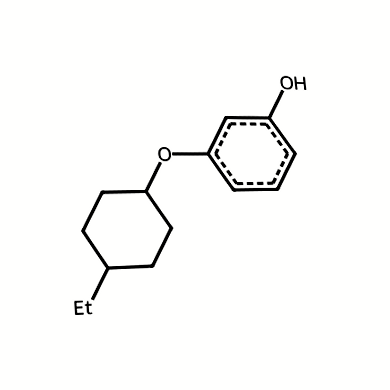 CCC1CCC(Oc2cccc(O)c2)CC1